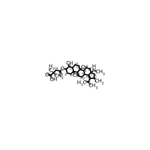 C=C1CC2(NC)CCC3C(CCC4C3(C)CCC3C(C)C(OC(=O)CC(C)(C)C(=O)O)CCC34C)C2=C1C(C)C